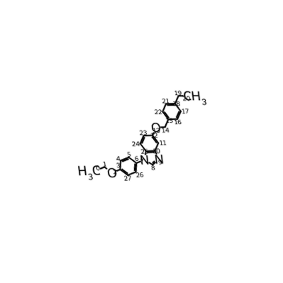 CCOc1ccc(-n2cnc3cc(OCc4ccc(CC)cc4)ccc32)cc1